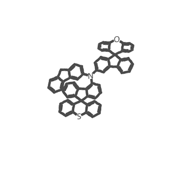 c1ccc2c(c1)Cc1ccc(N(c3ccc4c(c3)-c3ccccc3C43c4ccccc4Oc4ccccc43)c3cccc4c3-c3ccccc3C43c4ccccc4Sc4ccccc43)cc1-2